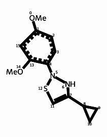 COc1ccc(N2NC(C3CC3)=CS2)c(OC)c1